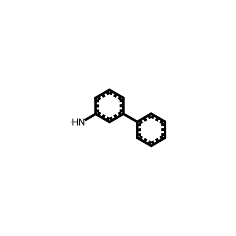 [NH]c1cccc(-c2ccccc2)c1